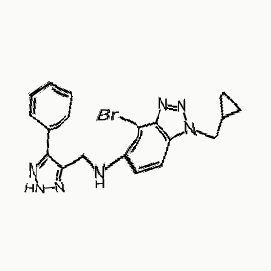 Brc1c(NCc2n[nH]nc2-c2ccccc2)ccc2c1nnn2CC1CC1